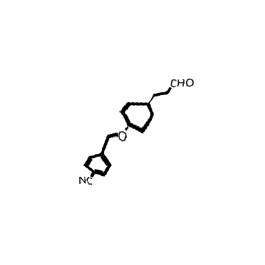 N#Cc1ccc(CO[C@H]2CC[C@H](CCC=O)CC2)cc1